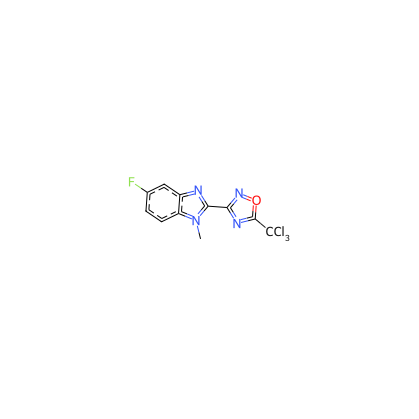 Cn1c(-c2noc(C(Cl)(Cl)Cl)n2)nc2cc(F)ccc21